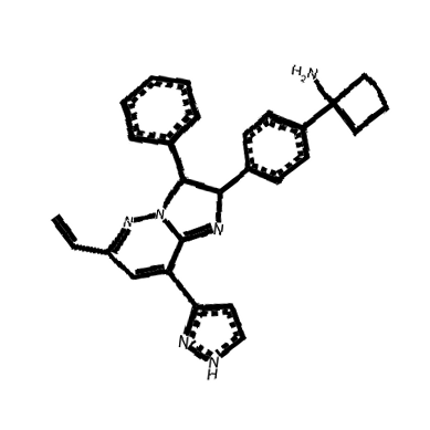 C=CC1=NN2C(=NC(c3ccc(C4(N)CCC4)cc3)C2c2ccccc2)C(c2cc[nH]n2)=C1